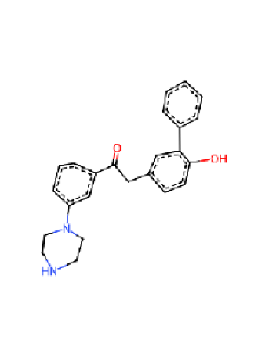 O=C(Cc1ccc(O)c(-c2ccccc2)c1)c1cccc(N2CCNCC2)c1